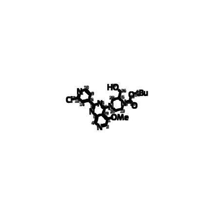 COc1cncc2nc(-c3ccnc(Cl)c3)nc(N3CCN(C(=O)OC(C)(C)C)C(CO)C3)c12